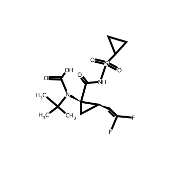 CC(C)(C)N(C(=O)O)[C@]1(C(=O)NS(=O)(=O)C2CC2)C[C@@H]1C=C(F)F